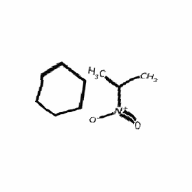 C1CCCCC1.CC(C)[N+](=O)[O-]